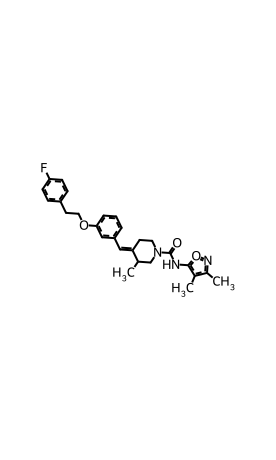 Cc1noc(NC(=O)N2CC/C(=C\c3cccc(OCCc4ccc(F)cc4)c3)C(C)C2)c1C